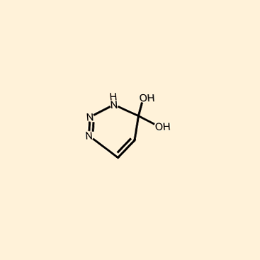 OC1(O)C=CN=NN1